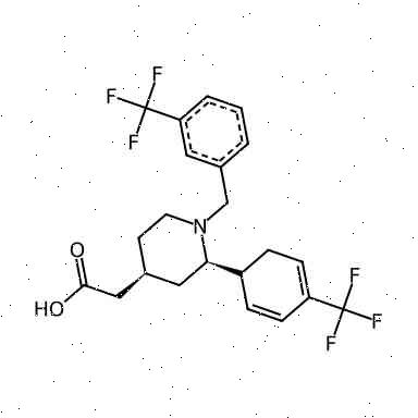 O=C(O)C[C@H]1CCN(Cc2cccc(C(F)(F)F)c2)[C@@H](C2C=CC(C(F)(F)F)=CC2)C1